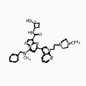 CN1CCN(CCn2cc(-c3cc(N(C)Cc4ccccc4)n4ncc(C(=O)NC5CC[C@@H]5O)c4n3)c3cccnc32)CC1